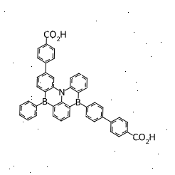 O=C(O)c1ccc(-c2ccc(B3c4ccccc4N4c5cc(-c6ccc(C(=O)O)cc6)ccc5B(c5ccccc5)c5cccc3c54)cc2)cc1